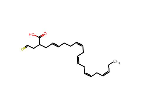 CC/C=C\C/C=C\C/C=C\C/C=C\CC/C=C/CC(CC=S)C(=O)O